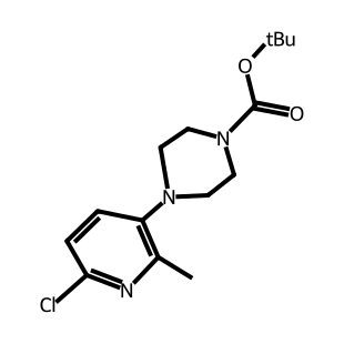 Cc1nc(Cl)ccc1N1CCN(C(=O)OC(C)(C)C)CC1